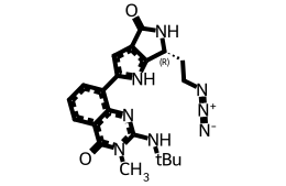 Cn1c(NC(C)(C)C)nc2c(-c3cc4c([nH]3)[C@@H](CCN=[N+]=[N-])NC4=O)cccc2c1=O